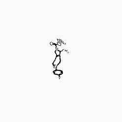 CC1C2CN(c3ccc(F)cc3)CC2CN1C(=O)OC(C)(C)C